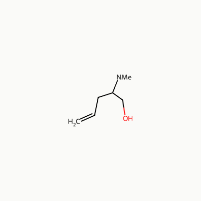 C=CCC(CO)NC